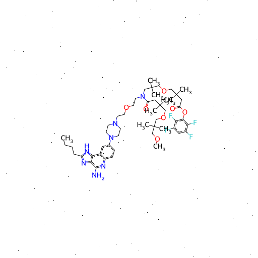 CCCCc1nc2c(N)nc3ccc(N4CCN(CCOCCN(CC(C)(C)COCC(C)(C)CC(=O)Oc5c(F)c(F)cc(F)c5F)C(=O)CC(C)(C)COCC(C)(C)COC)CC4)cc3c2[nH]1